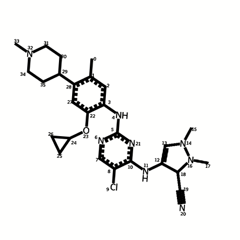 Cc1cc(Nc2ncc(Cl)c(NC3=CN(C)N(C)C3C#N)n2)c(OC2CC2)cc1C1CCN(C)CC1